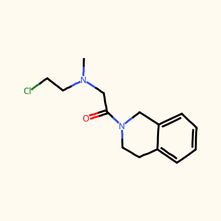 CN(CCCl)CC(=O)N1CCc2ccccc2C1